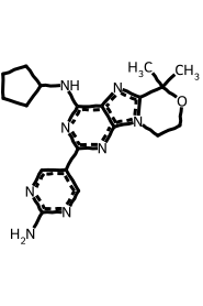 CC1(C)OCCn2c1nc1c(NC3CCCC3)nc(-c3cnc(N)nc3)nc12